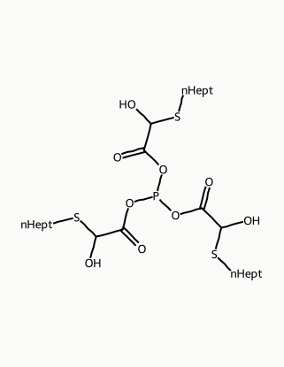 CCCCCCCSC(O)C(=O)OP(OC(=O)C(O)SCCCCCCC)OC(=O)C(O)SCCCCCCC